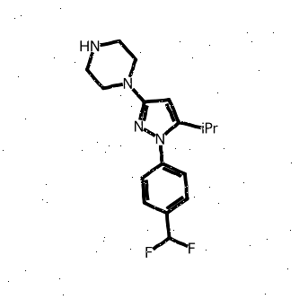 CC(C)c1cc(N2CCNCC2)nn1-c1ccc(C(F)F)cc1